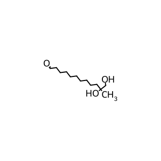 CC(O)(CO)CCCCCCCCCC=O